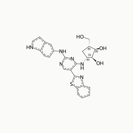 OC[C@H]1C[C@@H](Nc2nc(Nc3ccc4[nH]ccc4c3)ncc2-c2nc3ccccc3s2)[C@H](O)[C@@H]1O